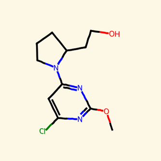 COc1nc(Cl)cc(N2CCCC2CCO)n1